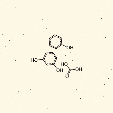 O=C(O)O.Oc1cccc(O)c1.Oc1ccccc1